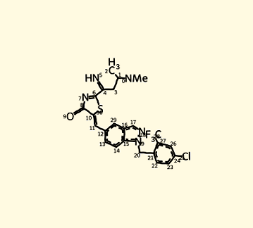 CNC(C)CC(=N)C1=NC(=O)C(=Cc2ccc3c(cnn3Cc3ccc(Cl)cc3C(F)(F)F)c2)S1